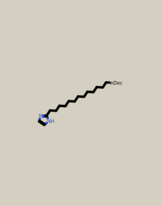 CCCCCCCCCCCCCCCCCCCCCCCc1ncc[nH]1